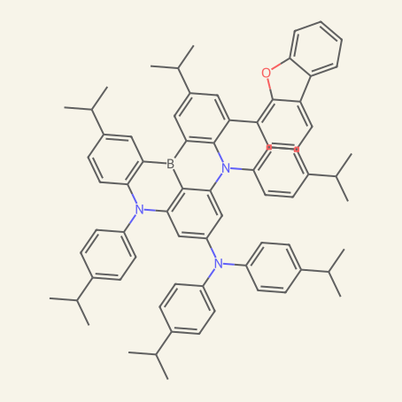 CC(C)c1ccc(N(c2ccc(C(C)C)cc2)c2cc3c4c(c2)N(c2ccc(C(C)C)cc2)c2c(cc(C(C)C)cc2-c2cccc5c2oc2ccccc25)B4c2cc(C(C)C)ccc2N3c2ccc(C(C)C)cc2)cc1